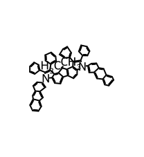 CC1(C)c2c(ccc3c2c(-c2ccccc2)c(-c2ccccc2)n3-c2ccc3cc4ccccc4cc3c2)-c2ccc3c(c(-c4ccccc4)c(-c4ccccc4)n3-c3ccc4cc5ccccc5cc4c3)c21